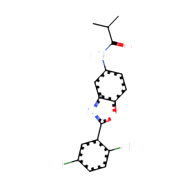 CC(C)C(=O)Nc1ccc2oc(-c3cc(Cl)ccc3Cl)nc2c1